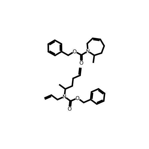 C=CCCC(C)N(CC=C)C(=O)OCc1ccccc1.CC1CCC=CCN1C(=O)OCc1ccccc1